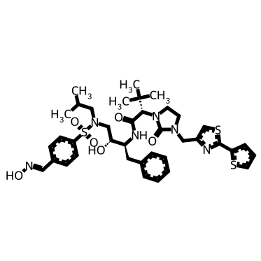 CC(C)CN(C[C@@H](O)[C@H](Cc1ccccc1)NC(=O)[C@@H](N1CCN(Cc2csc(-c3cccs3)n2)C1=O)C(C)(C)C)S(=O)(=O)c1ccc(C=NO)cc1